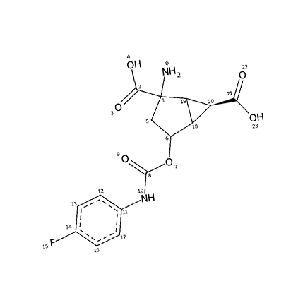 NC1(C(=O)O)CC(OC(=O)Nc2ccc(F)cc2)C2C1[C@H]2C(=O)O